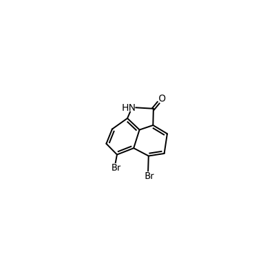 O=C1Nc2ccc(Br)c3c(Br)ccc1c23